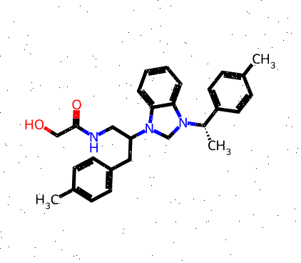 Cc1ccc(CC(CNC(=O)CO)N2CN([C@@H](C)c3ccc(C)cc3)c3ccccc32)cc1